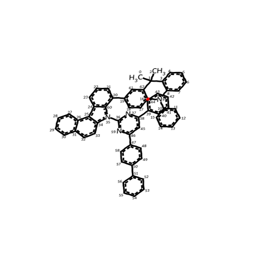 CC1(C)c2ccccc2N(c2ccccc2)c2ccc(-c3cccc4c5c6ccccc6ccc5n(-c5nc(-c6ccccc6)cc(-c6ccc(-c7ccccc7)cc6)n5)c34)cc21